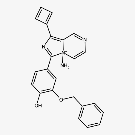 N[N+]12C=CN=CC1=C(C1=CC=C1)N=C2c1ccc(O)c(OCc2ccccc2)c1